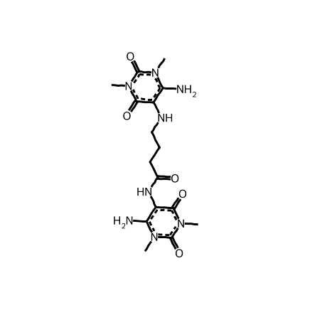 Cn1c(N)c(NCCCC(=O)Nc2c(N)n(C)c(=O)n(C)c2=O)c(=O)n(C)c1=O